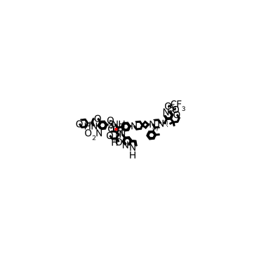 Cc1ccccc1[C@@H]1CN([C@@H](C)c2cnc(S(=O)(=O)C(F)(F)F)c3c2C(C)(C)CCO3)CCN1C1CC2(CCN(c3ccc(C(=O)NS(=O)(=O)c4cc5c(c([N+](=O)[O-])c4)N[C@H](C4CCOCC4)CO5)c(N4c5cc6cc[nH]c6nc5O[C@H]5COCC[C@@H]54)c3)CC2)C1